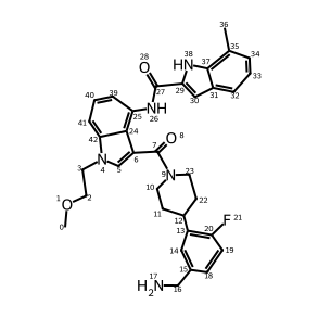 COCCn1cc(C(=O)N2CCC(c3cc(CN)ccc3F)CC2)c2c(NC(=O)c3cc4cccc(C)c4[nH]3)cccc21